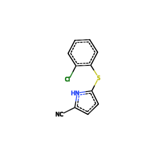 N#Cc1ccc(Sc2ccccc2Cl)[nH]1